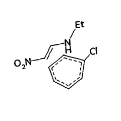 CCNC=C[N+](=O)[O-].Clc1ccccc1